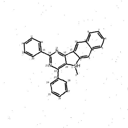 C[SiH]1c2cc3ccccc3cc2-c2nc(-c3ccccc3)nc(-c3ccccc3)c21